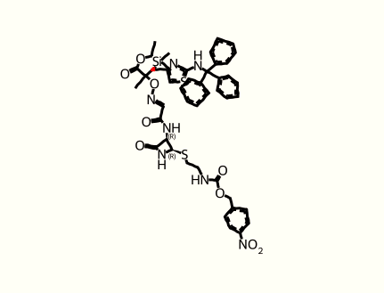 CC(OC(=O)C(C)(Cc1csc(NC(c2ccccc2)(c2ccccc2)c2ccccc2)n1)ON=CC(=O)N[C@@H]1C(=O)N[C@@H]1SCCNC(=O)OCc1ccc([N+](=O)[O-])cc1)[Si](C)(C)C